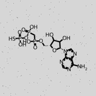 Nc1ncnc2c1ncn2[C@@H]1O[C@H](COP(=O)(O)CP(=O)(O)OP(=O)(O)S)C(O)C1O